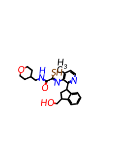 Cc1ccnc(C2CC(CO)c3ccccc32)c1/N=C(\S)C(=O)NCC1CCOCC1